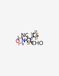 N#Cc1c(N2CCOCC2)sc(C=O)c1-c1ccsc1